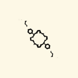 COC(O)CCOc1ccc(-c2c3nc(c(Br)c4ccc([nH]4)c(-c4ccc(OCCC(O)OC)cc4)c4nc(c(Br)c5ccc2[nH]5)C=C4)C=C3)cc1